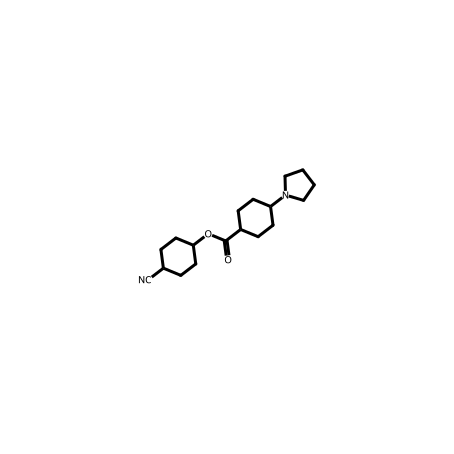 N#CC1CCC(OC(=O)C2CCC(N3CCCC3)CC2)CC1